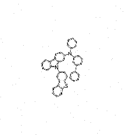 c1ccc(-c2cccc(N(c3ccccc3)c3ccc4c5ccccc5n(-c5ccc6sc7ccccc7c6c5)c4c3)c2)cc1